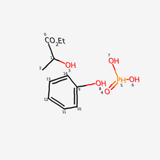 CCOC(=O)C(C)O.O=[PH](O)O.Oc1ccccc1